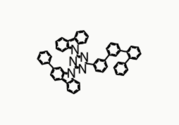 c1ccc(-c2ccc3c4ccccc4n(-c4nc(-c5cccc(-c6cccc(-c7ccccc7-c7ccccc7)c6)c5)nc(-n5c6ccccc6c6ccccc65)n4)c3c2)cc1